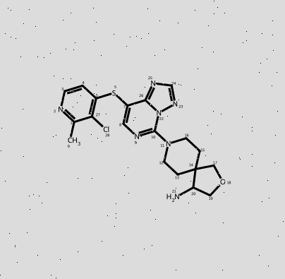 Cc1nccc(Sc2cnc(N3CCC4(CC3)COCC4N)n3ncnc23)c1Cl